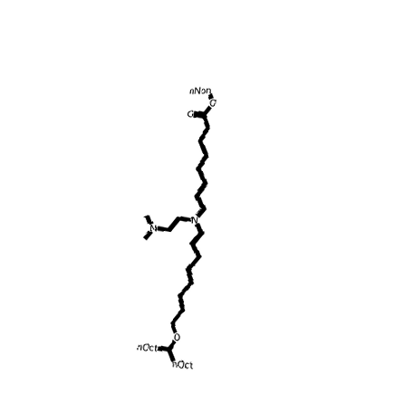 CCCCCCCCCOC(=O)CCCCCCCN(CCCCCCCCOC(CCCCCCCC)CCCCCCCC)CCN(C)C